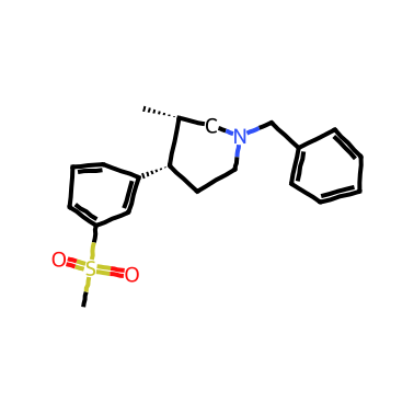 C[C@@H]1CN(Cc2ccccc2)CC[C@@H]1c1cccc(S(C)(=O)=O)c1